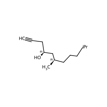 C#CC[C@H](O)C[C@H](C)CCCC(C)C